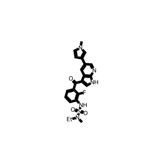 CCN(C)S(=O)(=O)Nc1cccc(C(=O)c2c[nH]c3ncc(-c4ccn(C)c4)cc23)c1F